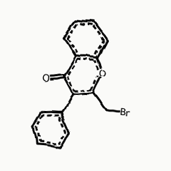 O=c1c(-c2ccccc2)c(CBr)oc2ccccc12